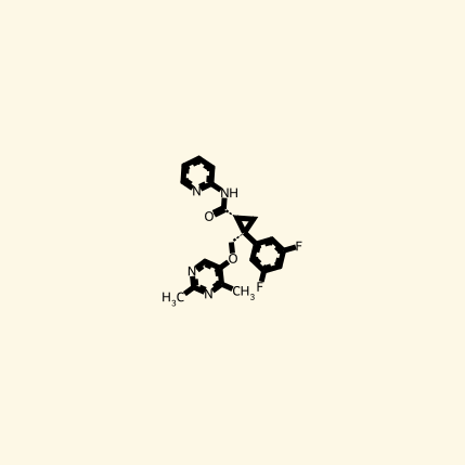 Cc1ncc(OC[C@@]2(c3cc(F)cc(F)c3)C[C@H]2C(=O)Nc2ccccn2)c(C)n1